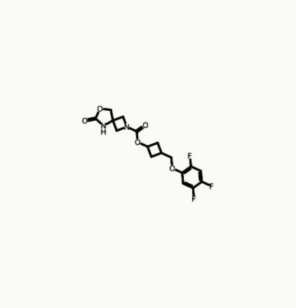 O=C1NC2(CO1)CN(C(=O)OC1CC(COc3cc(F)c(F)cc3F)C1)C2